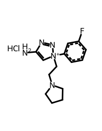 Cl.NC1=C[N+](CCN2CCCC2)(c2cccc(F)c2)N=N1